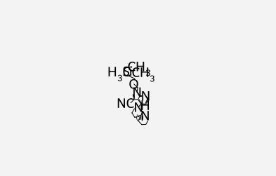 C[Si](C)(C)CCOCn1cc(C#N)c2c(N3CCC[C@@]4(CCCCN4)C3)ccnc21